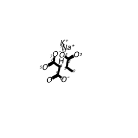 CCC(=O)O.O=C([O-])CC(=O)[O-].[K+].[Na+]